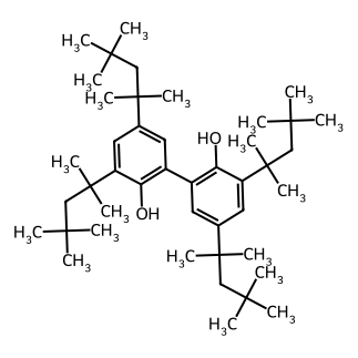 CC(C)(C)CC(C)(C)c1cc(-c2cc(C(C)(C)CC(C)(C)C)cc(C(C)(C)CC(C)(C)C)c2O)c(O)c(C(C)(C)CC(C)(C)C)c1